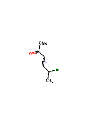 COC(=O)/C=C/C(C)Br